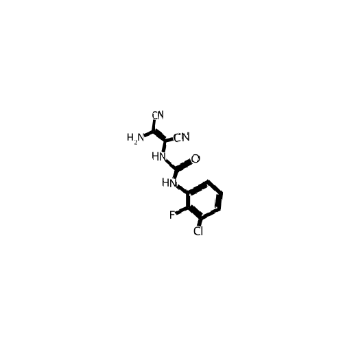 N#C/C(N)=C(\C#N)NC(=O)Nc1cccc(Cl)c1F